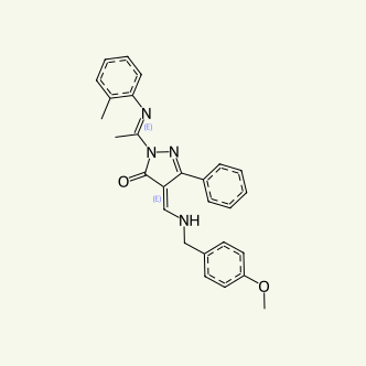 COc1ccc(CN/C=C2/C(=O)N(/C(C)=N/c3ccccc3C)N=C2c2ccccc2)cc1